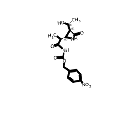 CC(C(=O)NC(=O)OCc1ccc([N+](=O)[O-])cc1)[C@H]1NC(=O)[C@@H]1[C@@H](C)O